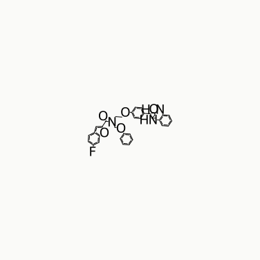 Nc1ccccc1NC(=O)c1ccc(OCCN(COc2ccccc2)C(=O)c2cc3ccc(F)cc3o2)cc1